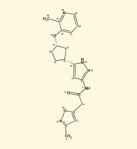 Cc1cc(CC(=O)Nc2cc([C@@H]3CC[C@H](Oc4cccnc4C)C3)[nH]n2)on1